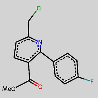 COC(=O)c1ccc(CCl)nc1-c1ccc(F)cc1